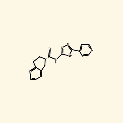 O=C(Nc1nnc(-c2ccncc2)[nH]1)[C@H]1CCc2ccccc2C1